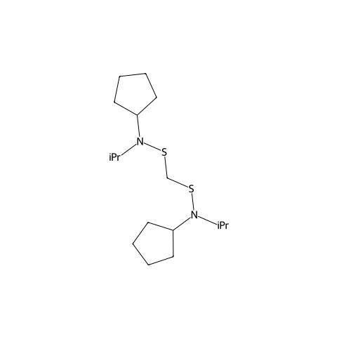 CC(C)N(SCSN(C(C)C)C1CCCC1)C1CCCC1